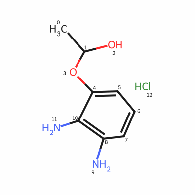 CC(O)Oc1cccc(N)c1N.Cl